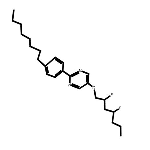 CCCCCCCCc1ccc(-c2ncc(OCC(F)CC(F)CCC)cn2)cc1